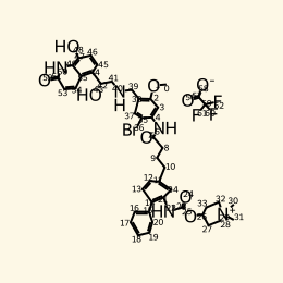 COc1cc(NC(=O)CCCc2ccc(-c3ccccc3)c(NC(=O)OC3CC[N+](C)(C)CC3)c2)c(Br)cc1CNC[C@H](O)c1ccc(O)c2[nH]c(=O)ccc12.O=C([O-])C(F)(F)F